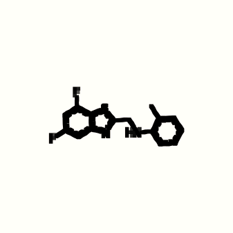 Cc1ccccc1NCc1nc2cc(F)cc(F)c2s1